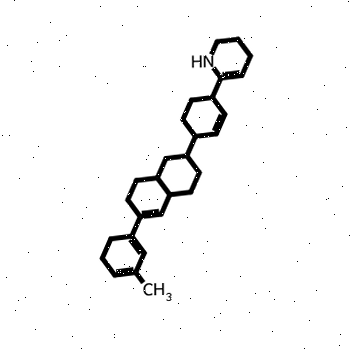 CC1=CCCC(C2=CC3CCC(C4C=CC(C5=CCCCN5)CC4)CC3CC2)=C1